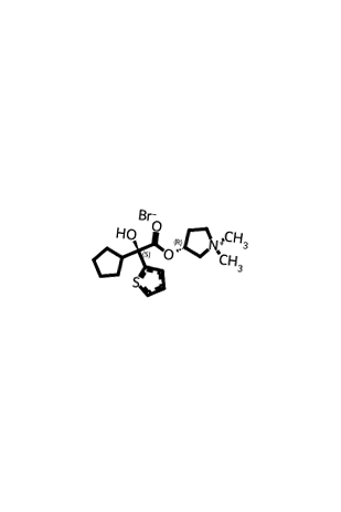 C[N+]1(C)CC[C@@H](OC(=O)[C@](O)(c2cccs2)C2CCCC2)C1.[Br-]